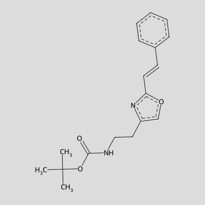 CC(C)(C)OC(=O)NCCc1coc(C=Cc2ccccc2)n1